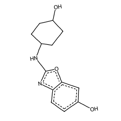 Oc1ccc2nc(NC3CCC(O)CC3)oc2c1